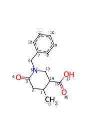 CC1CC(=O)N(Cc2ccccc2)CC1C(=O)O